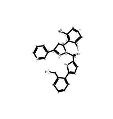 NCc1ccccc1-c1ccc(C(=O)N2N=C(c3cccnc3)CC2c2c(O)cccc2F)s1